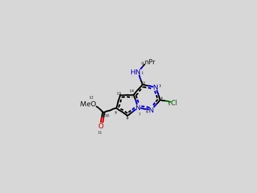 CCCNc1nc(Cl)nn2cc(C(=O)OC)cc12